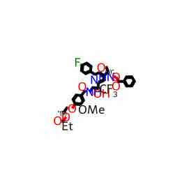 CCC(=O)O[C@H](C)COc1ccc(C(=O)NC[C@@](O)(c2cc3c(c(-c4ccc(F)cc4)n2)OC[C@@]3(C)NOC(=O)c2ccccc2)C(F)(F)F)cc1OC